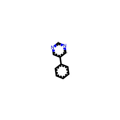 [c]1n[c]c(-c2ccccc2)cn1